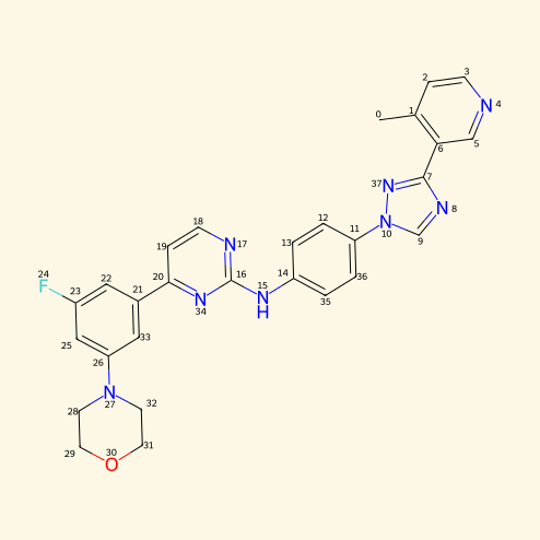 Cc1ccncc1-c1ncn(-c2ccc(Nc3nccc(-c4cc(F)cc(N5CCOCC5)c4)n3)cc2)n1